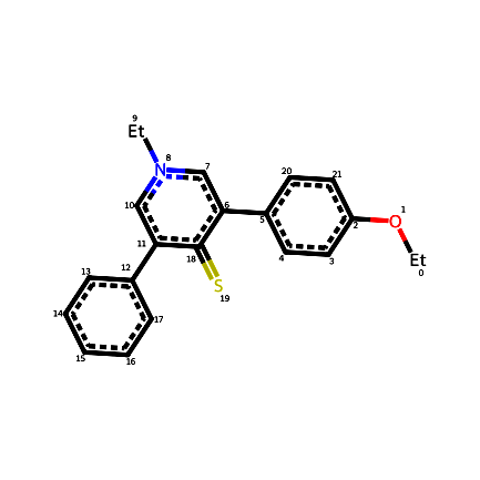 CCOc1ccc(-c2cn(CC)cc(-c3ccccc3)c2=S)cc1